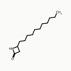 CCCCCCCCCCCC1CC(=O)N1